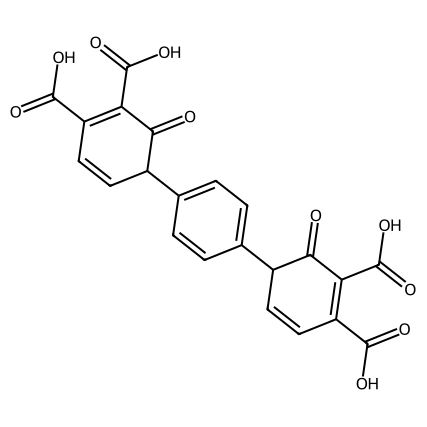 O=C(O)C1=C(C(=O)O)C(=O)C(c2ccc(C3C=CC(C(=O)O)=C(C(=O)O)C3=O)cc2)C=C1